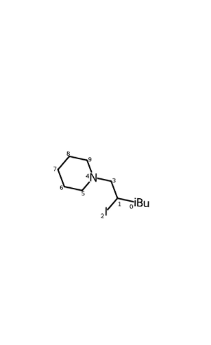 CCC(C)C(I)CN1CCCCC1